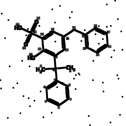 CC(C)(c1ccccc1)c1cc(Cc2ccccc2)cc(S(=O)(=O)O)c1O